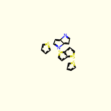 C1=NC2=CC=NC2=C1.c1cc2sccc2s1.c1ccsc1.c1ccsc1